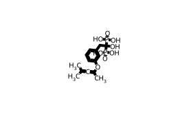 CC(C)=C=C(C)Oc1cccc(CC(O)(P(=O)(O)O)P(=O)(O)O)c1